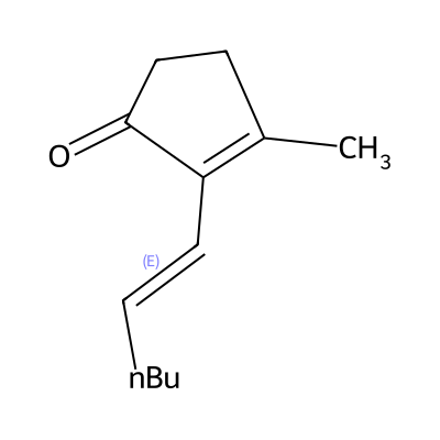 CCCC/C=C/C1=C(C)CCC1=O